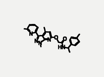 Cc1ccc(C(C)NC(=O)COc2cc(C)c3c(-c4cccc(C)n4)nn(C)c3n2)cc1